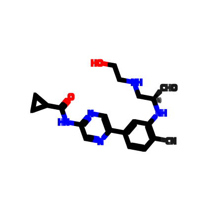 N#Cc1ccc(-c2cnc(NC(=O)C3CC3)cn2)cc1N[C@H](C=O)CNCCO